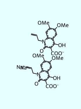 C=CCn1c(=O)c(C(=O)[O-])c(O)c2cc(OC)c(OC)cc21.C=CCn1c(=O)c(C(=O)[O-])c(O)c2cc(OC)c(OC)cc21.[Na+].[Na+]